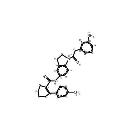 Cc1ccc(C2=C(C(=O)Nc3ccc4c(c3)CCN4C(=O)Cc3cccc(N)n3)CCCC2)cc1